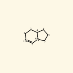 C1=NCCC2CCCN12